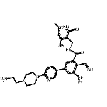 CCCc1cc(C)[nH]c(=O)c1CNC(=O)c1cc(-c2ccc(N3CCN(CCN)CC3)nc2)cc(NC(C)C)c1C=N